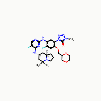 Cn1nnn(-c2cc(Nc3ncc(F)c(N[C@@H]4C[C@@H]5CCCN5C(C)(C)C4)n3)c(F)cc2OCC2COCCO2)c1=O